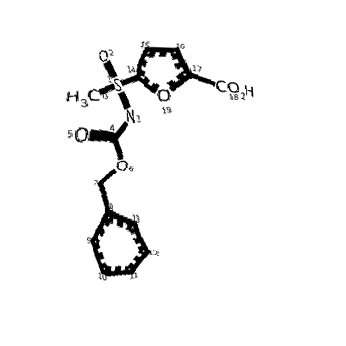 CS(=O)(=NC(=O)OCc1ccccc1)c1ccc(C(=O)O)o1